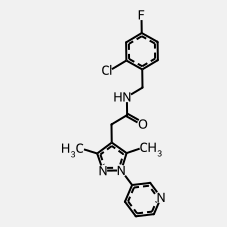 Cc1nn(-c2cccnc2)c(C)c1CC(=O)NCc1ccc(F)cc1Cl